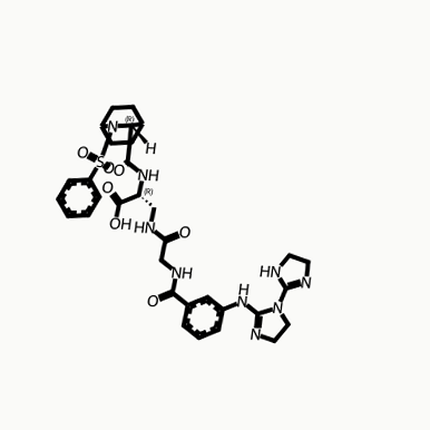 O=C(CNC(=O)c1cccc(NC2=NCCN2C2=NCCN2)c1)NC[C@@H](NC(=O)[C@H]1C2CCC(CC2)N1S(=O)(=O)c1ccccc1)C(=O)O